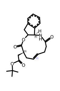 CC(C)(C)OC(=O)C[C@@H]1C/C=C/CCC(=O)N[C@@H]2c3ccccc3CC2OC1=O